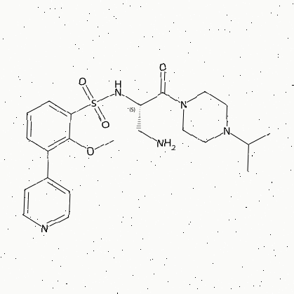 COc1c(-c2ccncc2)cccc1S(=O)(=O)N[C@@H](CN)C(=O)N1CCN(C(C)C)CC1